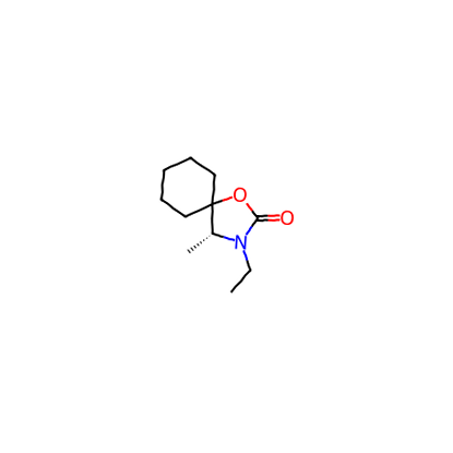 CCN1C(=O)OC2(CCCCC2)[C@H]1C